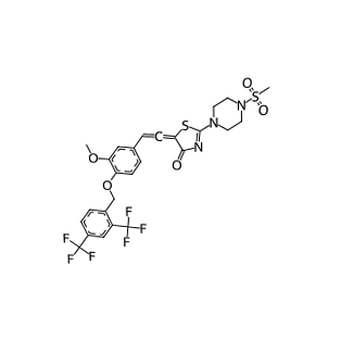 COc1cc(C=C=C2SC(N3CCN(S(C)(=O)=O)CC3)=NC2=O)ccc1OCc1ccc(C(F)(F)F)cc1C(F)(F)F